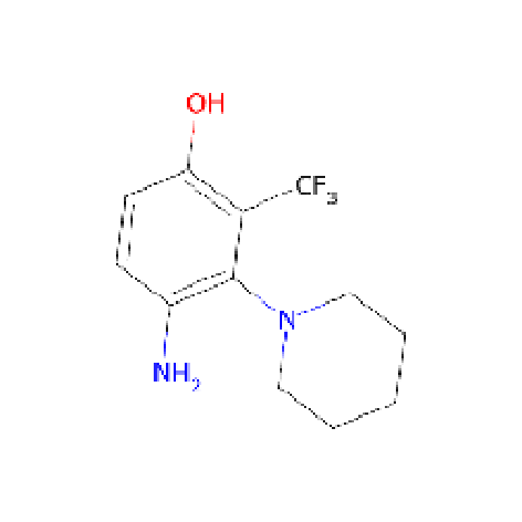 Nc1ccc(O)c(C(F)(F)F)c1N1CCCCC1